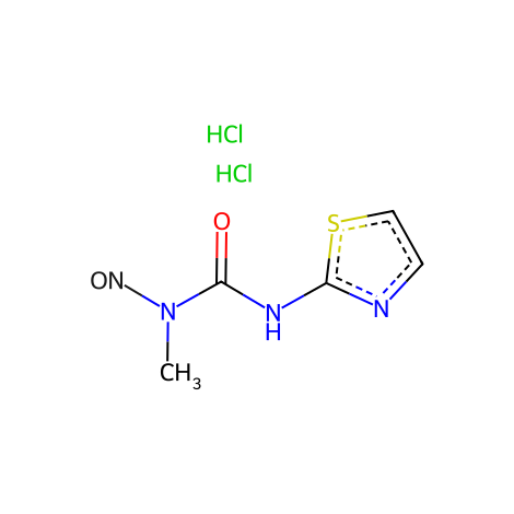 CN(N=O)C(=O)Nc1nccs1.Cl.Cl